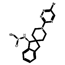 CC(C)(C)[S+]([O-])N[C@@H]1c2ccccc2CC12CCN(c1ncc(Br)nn1)CC2